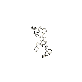 N#Cc1c(N)sc2c(F)ccc(-c3c(Cl)cc4c(OC5CCCC5)nc(OC[C@@]56CCCN5C[C@H](F)C6)nc4c3F)c12